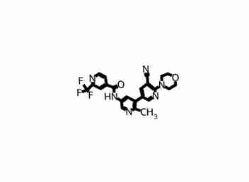 Cc1ncc(NC(=O)c2ccnc(C(F)(F)F)c2)cc1-c1cnc(N2CCOCC2)c(C#N)c1